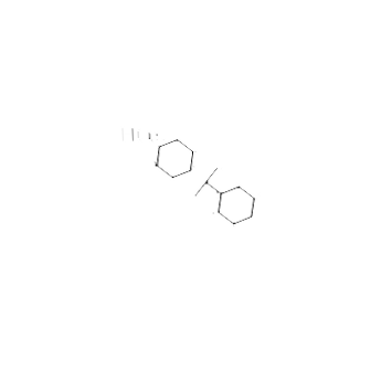 CC(C)(C1CCCCC1)[C@H]1CC[C@@H](O)CC1